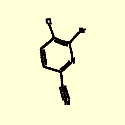 N#Cc1ccc(Cl)c(Br)n1